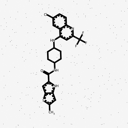 Cc1cc2[nH]c(C(=O)NC3CCC(Nc4cc(C(F)(F)F)nc5ccc(Cl)cc45)CC3)cc2s1